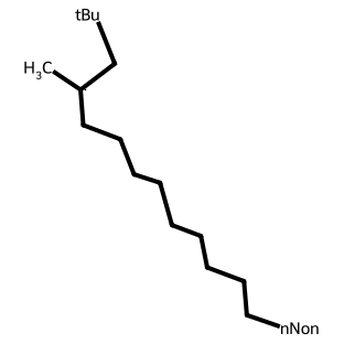 CCCCCCCCCCCCCCCCCC[C](C)CC(C)(C)C